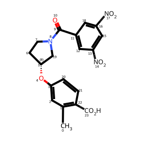 Cc1cc(O[C@@H]2CCN(C(=O)c3cc([N+](=O)[O-])cc([N+](=O)[O-])c3)C2)ccc1C(=O)O